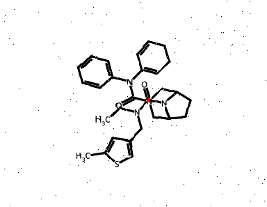 CCN(Cc1csc(C)c1)C(=O)N1C2CCC1CN(C(=O)N(C1=CCCC=C1)c1ccccc1)C2